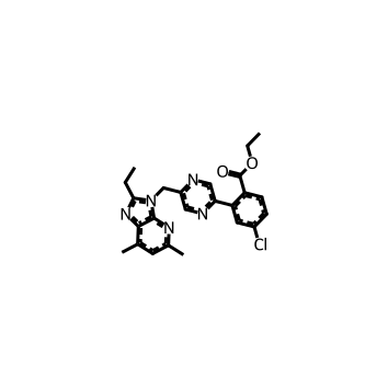 CCOC(=O)c1ccc(Cl)cc1-c1cnc(Cn2c(CC)nc3c(C)cc(C)nc32)cn1